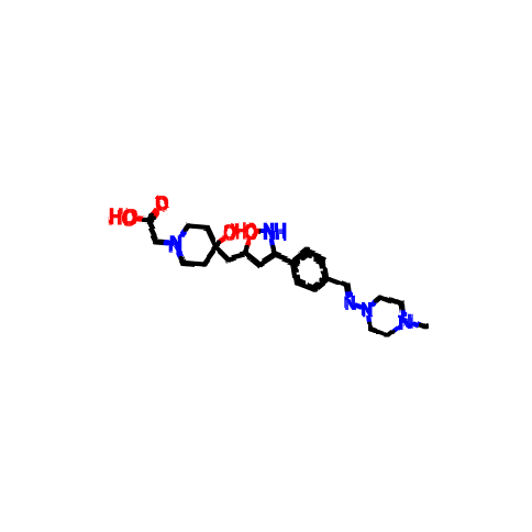 CN1CCN(N=Cc2ccc(C3CC(CC4(O)CCN(CC(=O)O)CC4)ON3)cc2)CC1